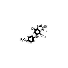 CCN(C)/C=N\c1cc(C)c(Nc2ccc(SC(F)(F)F)cc2)cc1Cl